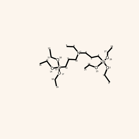 CCO[Si](CCCN(CC)CCC[Si](OCC)(OCC)OCC)(OCC)OCC